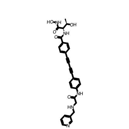 C[C@@H](O)[C@H](NC(=O)c1ccc(C#CC#Cc2ccc(NC(=O)CNCc3cccnc3)cc2)cc1)C(=O)NO